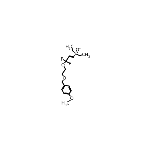 CC[N+]([O-])(/C=C/C(F)(F)OCCOCc1ccc(OC)cc1)CC